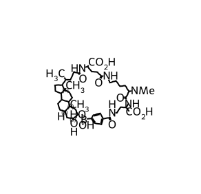 CNC(CCCCNC(=O)CCC(NC(=O)CCC(C)C1CCC2C3CC[C@H]4C[C@@H](O)CC[C@@]4(C)C3CC[C@@]12C)C(=O)O)C(=O)NC(CCNC(=O)c1ccc(B(O)O)cc1)C(=O)O